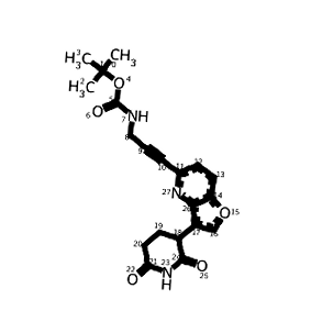 CC(C)(C)OC(=O)NCC#Cc1ccc2occ(C3CCC(=O)NC3=O)c2n1